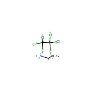 CCCCCCCN.ClC(Cl)(Cl)C(Cl)(Cl)Cl